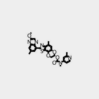 COc1cnc2c(-c3nc4c(C)cc5c(c4s3)OC[C@@H](OC(=O)N(C)c3ccnc(C)c3)O5)cc(C)cc2n1